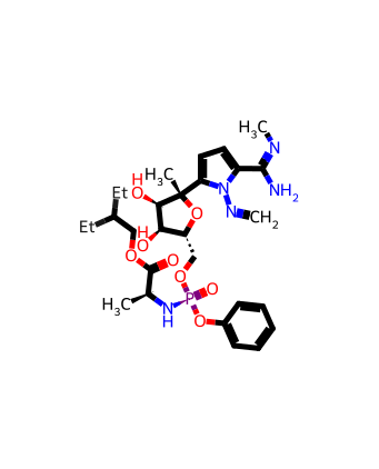 C=Nn1c(/C(N)=N\C)ccc1[C@]1(C)O[C@H](CO[P@@](=O)(N[C@@H](C)C(=O)OCC(CC)CC)Oc2ccccc2)[C@@H](O)[C@H]1O